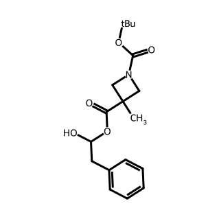 CC(C)(C)OC(=O)N1CC(C)(C(=O)OC(O)Cc2ccccc2)C1